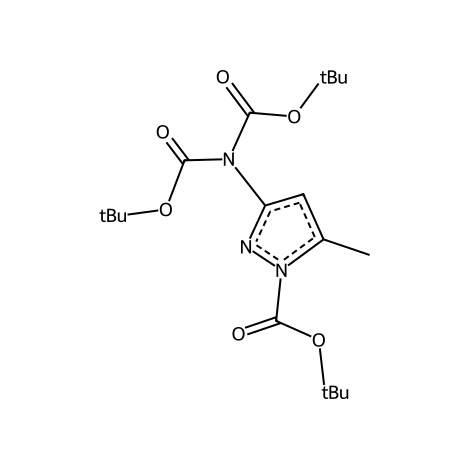 Cc1cc(N(C(=O)OC(C)(C)C)C(=O)OC(C)(C)C)nn1C(=O)OC(C)(C)C